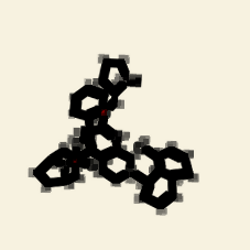 O=C(OCc1ccccc1)N1C2CCC1CN(c1nc(OC[C@@H]3CCCN3)nc3c1CCN(c1cccc4cccc(Cl)c14)C3)C2